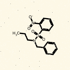 CCCN(Cc1ccccc1)S(=O)(=O)c1ccccc1[N+](=O)[O-]